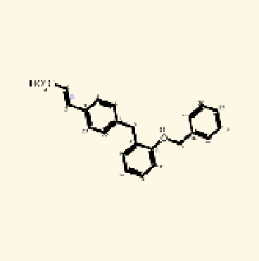 O=C(O)/C=C/c1ccc(Cc2ccccc2OCc2ccccc2)cc1